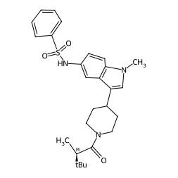 C[C@@H](C(=O)N1CCC(c2cn(C)c3ccc(NS(=O)(=O)c4ccccc4)cc23)CC1)C(C)(C)C